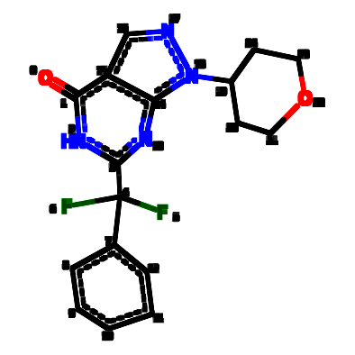 O=c1[nH]c(C(F)(F)c2ccccc2)nc2c1cnn2C1CCOCC1